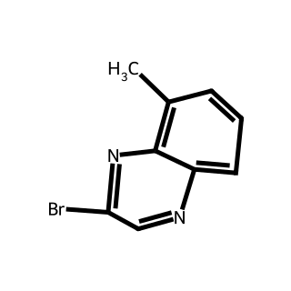 Cc1cccc2ncc(Br)nc12